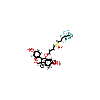 CCCC(OCCCC[S+]([O-])CCCC(F)(F)C(F)(F)F)C1c2ccc(O)cc2OCC1(C)c1ccc(O)cc1